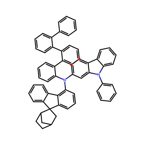 c1ccc(-c2ccccc2-c2ccccc2-c2ccccc2N(c2ccc3c4ccccc4n(-c4ccccc4)c3c2)c2cccc3c2-c2ccccc2C32CC3CCC2C3)cc1